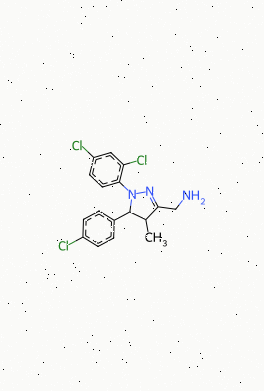 CC1C(CN)=NN(c2ccc(Cl)cc2Cl)C1c1ccc(Cl)cc1